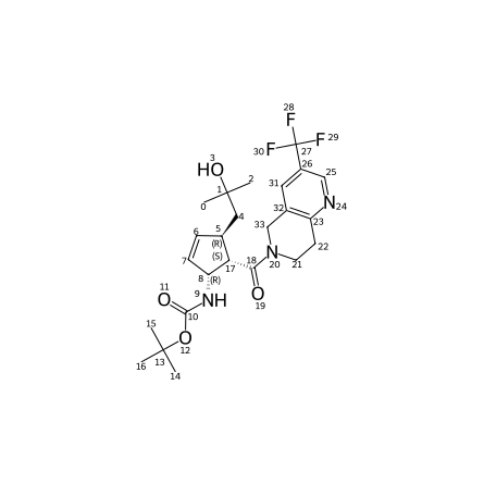 CC(C)(O)C[C@@H]1C=C[C@@H](NC(=O)OC(C)(C)C)[C@H]1C(=O)N1CCc2ncc(C(F)(F)F)cc2C1